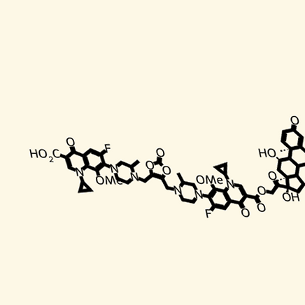 COc1c(N2CCN(Cc3oc(=O)oc3CN3CCN(c4c(F)cc5c(=O)c(C(=O)OCC(=O)[C@@]6(O)CCC7C8CCC9=CC(=O)C=C[C@]9(C)C8[C@@H](O)C[C@@]76C)cn(C6CC6)c5c4OC)CC3C)C(C)C2)c(F)cc2c(=O)c(C(=O)O)cn(C3CC3)c12